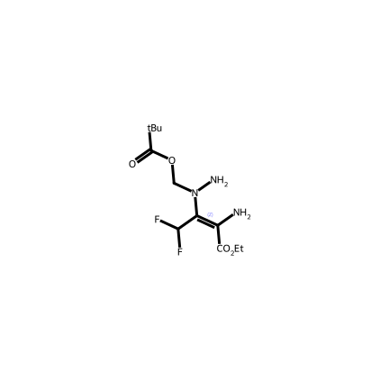 CCOC(=O)/C(N)=C(\C(F)F)N(N)COC(=O)C(C)(C)C